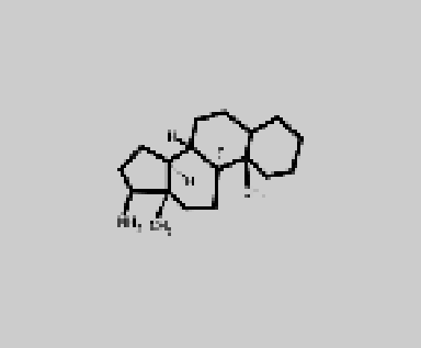 C[C@]12CCCCC1CC[C@@H]1[C@@H]2CC[C@]2(C)C(N)CC[C@@H]12